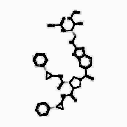 CCCCCCCCCC(=O)N[C@@H](CNc1nc2cc(C(=O)N3C[C@@H](C(=O)N[C@H]4C[C@@H]4c4ccccc4)[C@H](C(=O)N[C@H]4C[C@@H]4c4ccccc4)C3)ccc2o1)C(=O)NCCCCCC